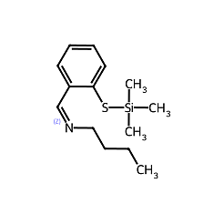 CCCC/N=C\c1ccccc1S[Si](C)(C)C